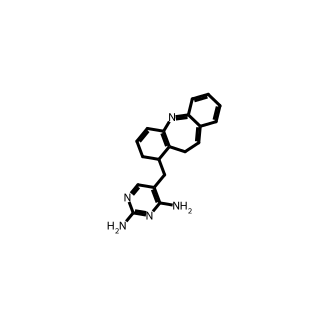 Nc1ncc(CC2CC=CC3=C2CC=c2ccccc2=N3)c(N)n1